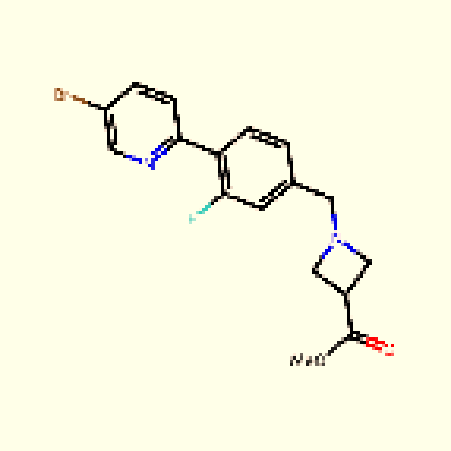 COC(=O)C1CN(Cc2ccc(-c3ccc(Br)cn3)c(F)c2)C1